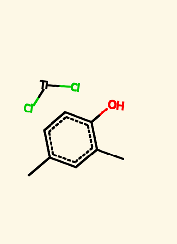 Cc1ccc(O)c(C)c1.[Cl][Ti][Cl]